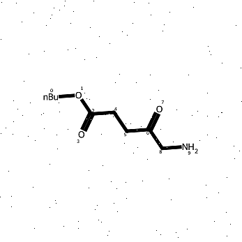 CCCCOC(=O)CCC(=O)CN